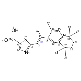 C/C(=C\c1ncc(C(=O)O)s1)c1cc2c(cc1C)C(C)(C)CCC2(C)C